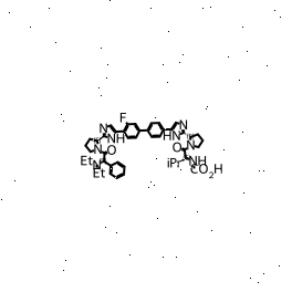 CCN(CC)[C@@H](C(=O)N1CCC[C@H]1c1ncc(-c2ccc(-c3ccc(-c4cnc([C@@H]5CCCN5C(=O)[C@@H](NC(=O)O)C(C)C)[nH]4)cc3)cc2F)[nH]1)c1ccccc1